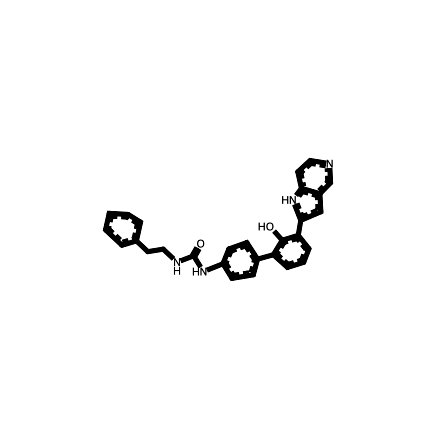 O=C(NCCc1ccccc1)Nc1ccc(-c2cccc(-c3cc4cnccc4[nH]3)c2O)cc1